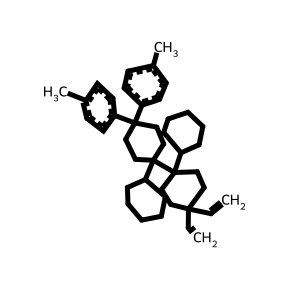 C=CC1(C=C)CCC(C2CCCCC2)(C2(C3CCCCC3)CCC(c3ccc(C)cc3)(c3ccc(C)cc3)CC2)CC1